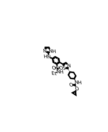 CCNS(=O)(=O)c1cc(Nc2ncc[nH]2)ccc1-c1cnc([C@H]2CC[C@H](NC(=O)OC3CC3)CC2)s1